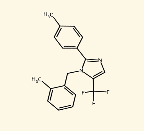 Cc1ccc(-c2ncc(C(F)(F)F)n2Cc2ccccc2C)cc1